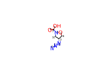 [N-]=[N+]=N[C@H]1CON(C(=O)O)C1